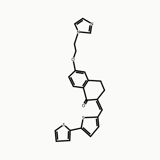 O=C1C(=Cc2ccc(-c3cccs3)s2)CCc2cc(OCCn3ccnc3)ccc21